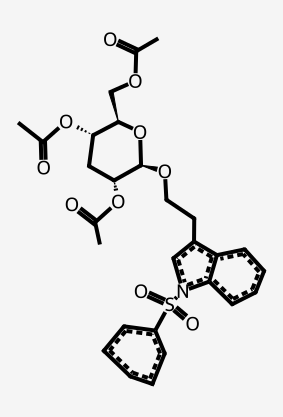 CC(=O)OC[C@H]1O[C@@H](OCCc2cn(S(=O)(=O)c3ccccc3)c3ccccc23)[C@H](OC(C)=O)C[C@@H]1OC(C)=O